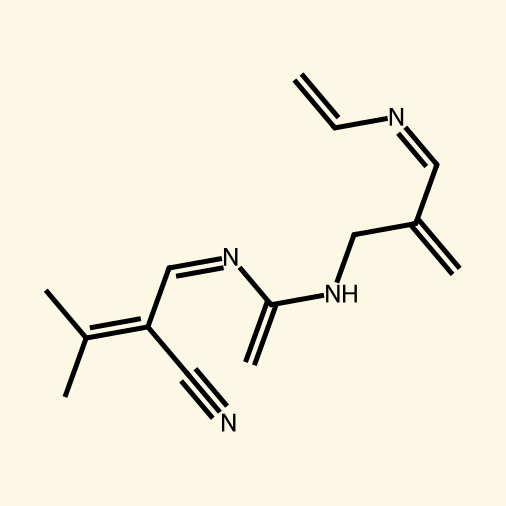 C=C/N=C\C(=C)CNC(=C)/N=C\C(C#N)=C(C)C